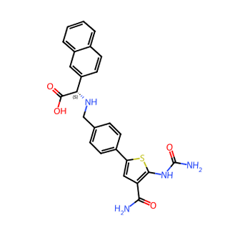 NC(=O)Nc1sc(-c2ccc(CN[C@H](C(=O)O)c3ccc4ccccc4c3)cc2)cc1C(N)=O